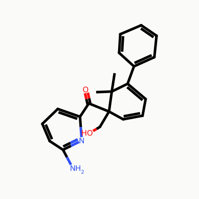 CC1(C)C(c2ccccc2)=CC=CC1(CO)C(=O)c1cccc(N)n1